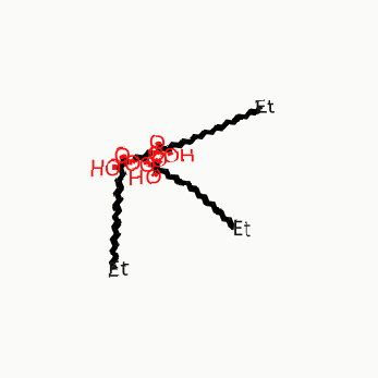 CCC=CCC=CCC=CCC=CCC=CCCC(O)C(=O)OCC(COC(=O)C(O)CCC=CCC=CCC=CCC=CCC=CCC)OC(=O)C(O)CCC=CCC=CCC=CCC=CCC=CCC